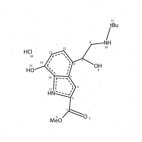 COC(=O)c1cc2c(C(O)CNC(C)(C)C)ccc(O)c2[nH]1.Cl